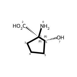 N[C@]1(C(=O)O)CCC[C@H]1O